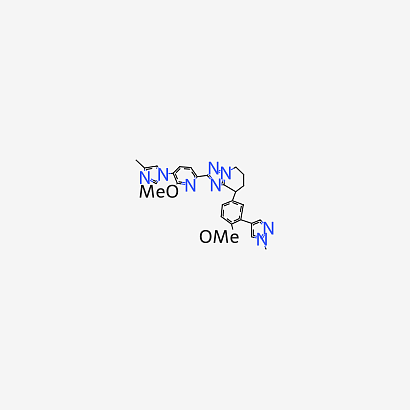 COc1ccc(C2CCCn3nc(-c4ccc(-n5cnc(C)c5)c(OC)n4)nc32)cc1-c1cnn(C)c1